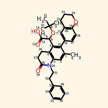 Cc1cc2c(c(C(OC(C)(C)C)C(=O)O)c1-c1ccc3c(c1)CCCO3)CCC(=O)N2CCc1ccccc1